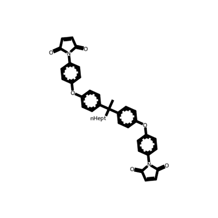 CCCCCCCC(C)(c1ccc(Oc2ccc(N3C(=O)C=CC3=O)cc2)cc1)c1ccc(Oc2ccc(N3C(=O)C=CC3=O)cc2)cc1